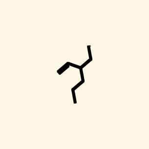 [CH2]CC(C=C)CCC